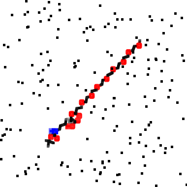 COCCOCCOCCOCCOCCOCCOCCOCCC(=O)O[C@@H](CCCCNC(=O)OC(C)(C)C)C(=O)O